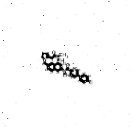 CN(C)C(=O)CC1CCCN1Cc1ccc2c(c1)CCC(N(C)C(=O)c1ccc(-c3ccc(Cl)cc3)cn1)C2